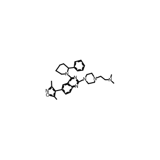 Cc1noc(C)c1-c1ccc2nc(N3CCN(CCN(C)C)CC3)nc(N3CCCCC3c3ccccc3)c2c1